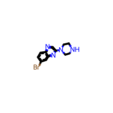 Brc1ccc2ncc(N3CCNCC3)nc2c1